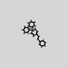 C(=Cc1ccccc1)C1=CCC(c2ccccc2)(c2ccccc2)C=C1